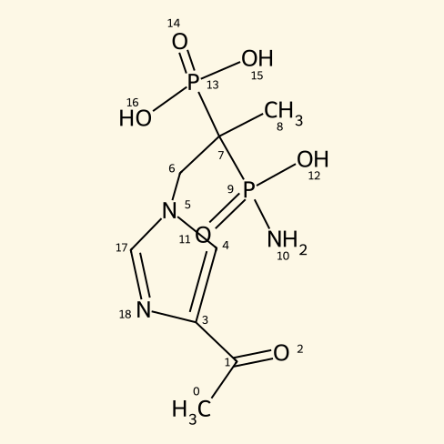 CC(=O)c1cn(CC(C)(P(N)(=O)O)P(=O)(O)O)cn1